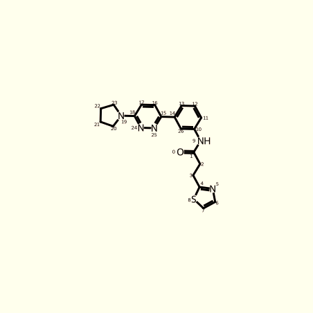 O=C(CCc1nccs1)Nc1cccc(-c2ccc(N3CCCC3)nn2)c1